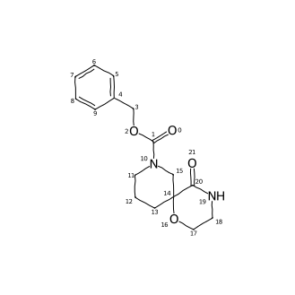 O=C(OCc1ccccc1)N1CCCC2(C1)OCCNC2=O